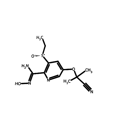 CC[S@@+]([O-])c1cc(OC(C)(C)C#N)cnc1C(N)=NO